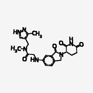 Cc1n[nH]cc1CN(C)C(=O)CNc1ccc2c(c1)C(=O)N(C1CCC(=O)NC1=O)C2